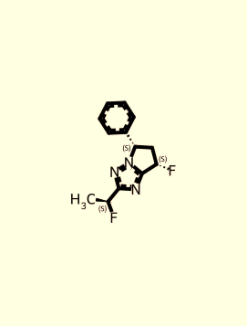 C[C@H](F)c1nc2n(n1)[C@H](c1ccccc1)C[C@@H]2F